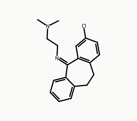 CN(C)CCN=C1c2ccccc2CCc2ccc(Cl)cc21